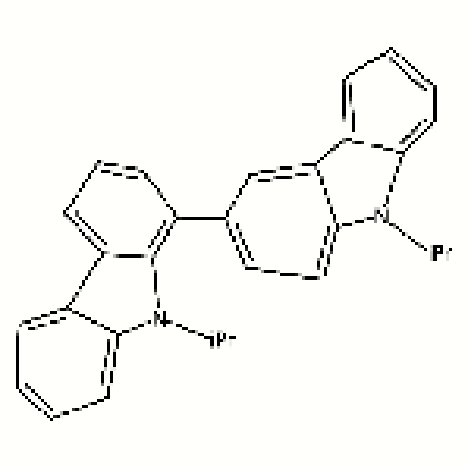 CC(C)n1c2ccccc2c2cc(-c3cccc4c5ccccc5n(C(C)C)c34)ccc21